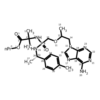 CCCOC(=O)C(C)(C)NP(=O)(COC(C)Cn1cnc2c(N)ncnc21)N[C@@H](C)c1ccc(C)cc1